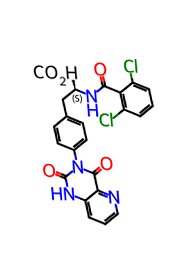 O=C(N[C@@H](Cc1ccc(-n2c(=O)[nH]c3cccnc3c2=O)cc1)C(=O)O)c1c(Cl)cccc1Cl